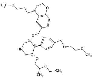 CCOC(C)CO[C@@H]1CNC[C@H](OCc2ccc3c(c2)N(CCCOC)CCO3)[C@H]1c1ccc(COCCOC)cc1